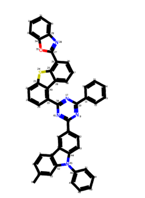 Cc1ccc2c3cc(-c4nc(-c5ccccc5)nc(-c5cccc6sc7c(-c8nc9ccccc9o8)cccc7c56)n4)ccc3n(-c3ccccc3)c2c1